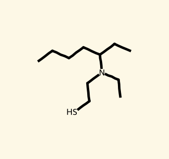 CCCCC(CC)N(CC)CCS